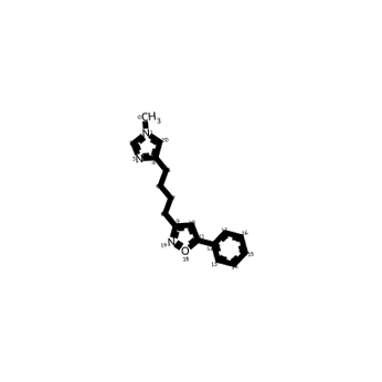 Cn1cnc(CCCCc2cc(-c3ccccc3)on2)c1